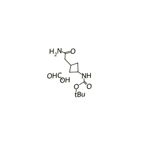 CC(C)(C)OC(=O)NC1CC(CC(N)=O)C1.O=CO